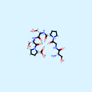 N[C@@H](CO)C(=O)NCC(=O)N1CCC[C@H]1C(=O)N[C@@H](CO)C(=O)N[C@@H](CO)C(=O)N1CCC[C@H]1C(=O)O